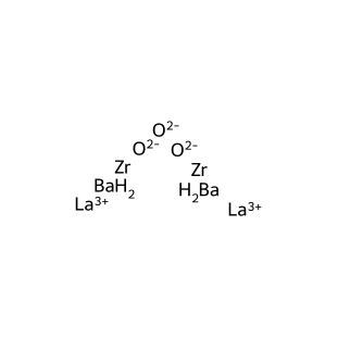 [BaH2].[BaH2].[La+3].[La+3].[O-2].[O-2].[O-2].[Zr].[Zr]